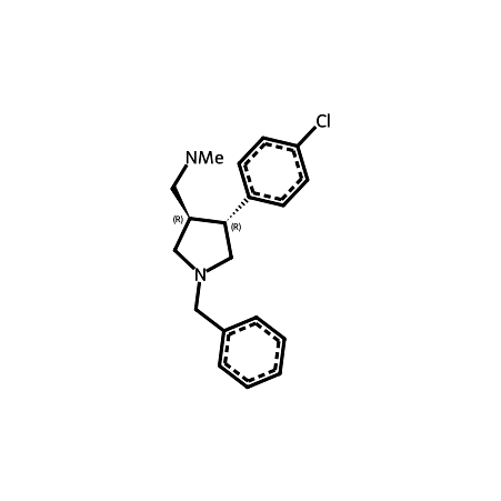 CNC[C@@H]1CN(Cc2ccccc2)C[C@H]1c1ccc(Cl)cc1